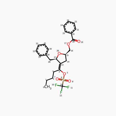 CCCC/C(OS(=O)(=O)C(F)(F)F)=C1/C[C@H](COC(=O)c2ccccc2)O[C@@H]1Cc1ccccc1